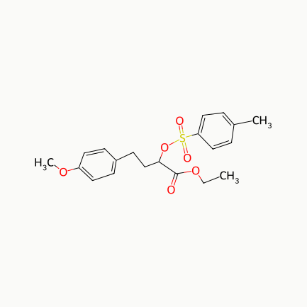 CCOC(=O)C(CCc1ccc(OC)cc1)OS(=O)(=O)c1ccc(C)cc1